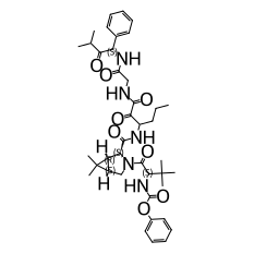 CCCC(NC(=O)[C@@H]1[C@@H]2[C@H](CN1C(=O)[C@@H](NC(=O)Oc1ccccc1)C(C)(C)C)C2(C)C)C(=O)C(=O)NCC(=O)N[C@H](C(=O)C(C)C)c1ccccc1